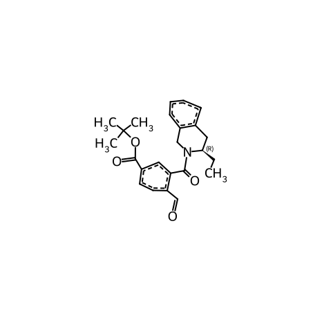 CC[C@@H]1Cc2ccccc2CN1C(=O)c1cc(C(=O)OC(C)(C)C)ccc1C=O